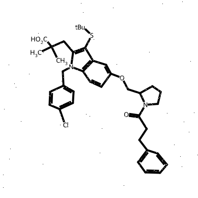 CC(C)(C)Sc1c(CC(C)(C)C(=O)O)n(Cc2ccc(Cl)cc2)c2ccc(OCC3CCCN3C(=O)CCc3ccccc3)cc12